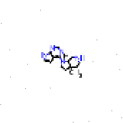 C[C@]12CCNC[C@H]1N(c1ncnc3[nH]ccc13)CC2